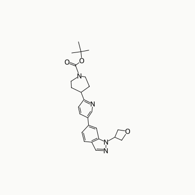 CC(C)(C)OC(=O)N1CCC(c2ccc(-c3ccc4cnn(C5COC5)c4c3)cn2)CC1